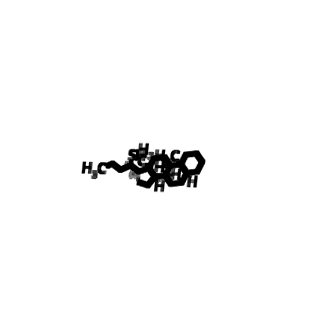 CCC[C@@H](S)[C@H]1CC[C@H]2[C@@H]3CC[C@@H]4CCCC[C@]4(C)[C@H]3CC[C@]12C